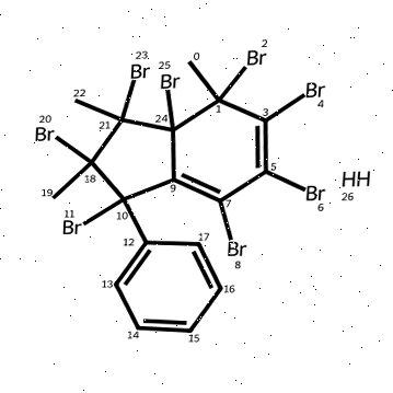 CC1(Br)C(Br)=C(Br)C(Br)=C2C(Br)(c3ccccc3)C(C)(Br)C(C)(Br)C21Br.[HH]